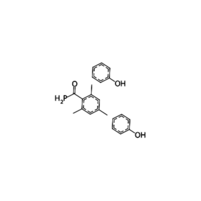 Cc1cc(C)c(C(=O)P)c(C)c1.Oc1ccccc1.Oc1ccccc1